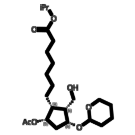 CC(=O)O[C@H]1C[C@@H](OC2CCCCO2)[C@@H](CO)[C@H]1CCCCCCC(=O)OC(C)C